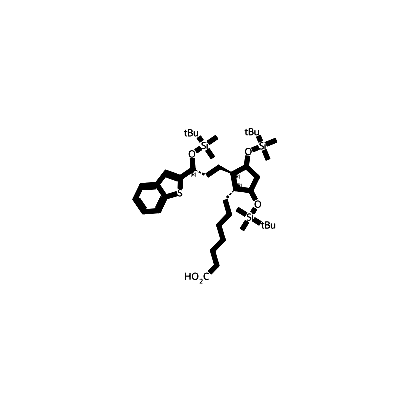 CC(C)(C)[Si](C)(C)OC1CC(O[Si](C)(C)C(C)(C)C)[C@H](CC[C@@H](O[Si](C)(C)C(C)(C)C)c2cc3ccccc3s2)[C@H]1CCCCCCC(=O)O